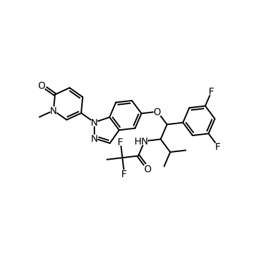 CC(C)C(NC(=O)C(C)(F)F)C(Oc1ccc2c(cnn2-c2ccc(=O)n(C)c2)c1)c1cc(F)cc(F)c1